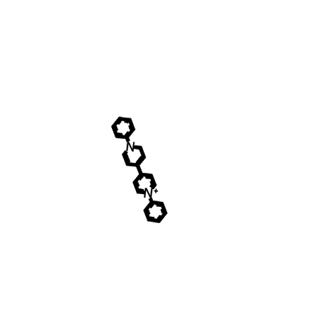 C1=CN(c2ccccc2)CC=C1c1cc[n+](-c2ccccc2)cc1